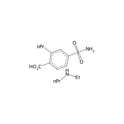 CCCNCC.CCCc1cc(S(N)(=O)=O)ccc1C(=O)O